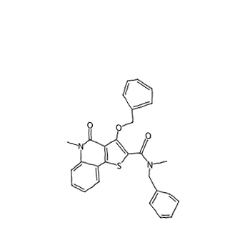 CN(Cc1ccccc1)C(=O)c1sc2c(c1OCc1ccccc1)c(=O)n(C)c1ccccc21